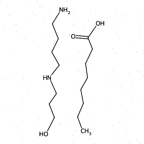 CCCCCCCC(=O)O.NCCCCNCCCO